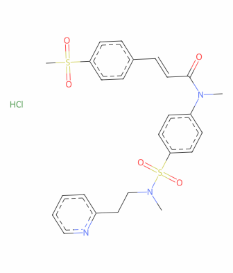 CN(C(=O)/C=C/c1ccc(S(C)(=O)=O)cc1)c1ccc(S(=O)(=O)N(C)CCc2ccccn2)cc1.Cl